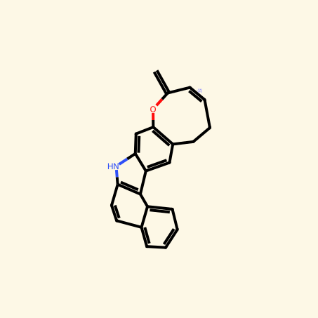 C=C1/C=C\CCc2cc3c(cc2O1)[nH]c1ccc2ccccc2c13